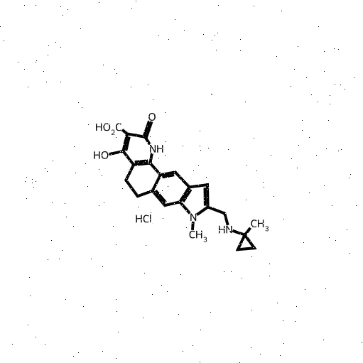 Cl.Cn1c(CNC2(C)CC2)cc2cc3c(cc21)CCc1c-3[nH]c(=O)c(C(=O)O)c1O